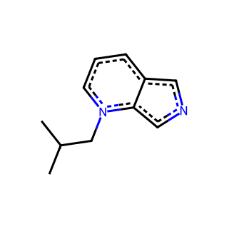 C[C](C)Cn1cccc2cncc1-2